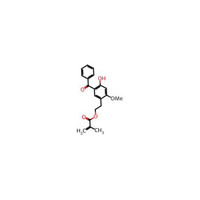 C=C(C)C(=O)OCCc1cc(C(=O)c2ccccc2)c(O)cc1OC